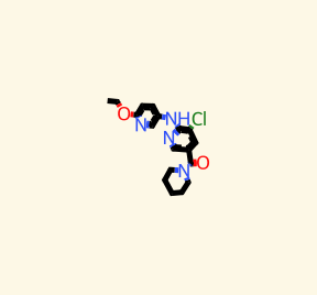 CCOc1ccc(Nc2ncc(C(=O)N3CCCCC3)cc2Cl)cn1